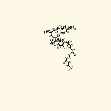 Cc1c(C)c2c(c(C)c1OP(=O)(O)OC1CO[C@@H](n3ccc(N)nc3=O)C(F)[C@@H](F)[C@H](O)C1)CCC(C)(CCCC(C)CCCC(C)CCCC(C)C)O2